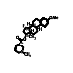 COc1ccc2c(c1)CC[C@@H]1[C@@H]2CC[C@]2(C)[C@@H](OC(=O)[C+]3C=CCN(C)C3)CC[C@@H]12.[I-]